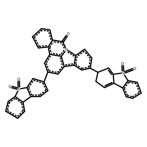 O=c1c2ccccc2c2cc(-c3ccc4c(c3)S(=O)(=O)c3ccccc3-4)cc3c4cc(C5C=C6C(=CC5)c5ccccc5S6(=O)=O)ccc4n1c23